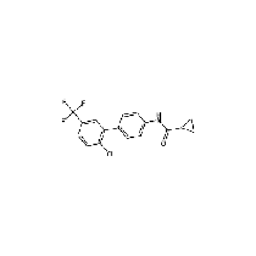 O=C(Nc1ccc(-c2cc(C(F)(F)F)ccc2Cl)cc1)C1CC1